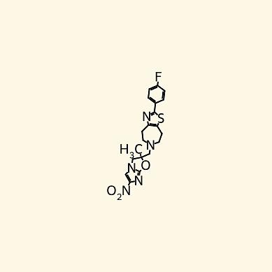 C[C@]1(CN2CCc3nc(-c4ccc(F)cc4)sc3CC2)Cn2cc([N+](=O)[O-])nc2O1